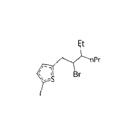 CCCC(CC)C(Br)Cc1ccc(I)s1